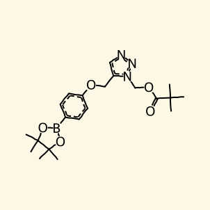 CC(C)(C)C(=O)OCn1nncc1COc1ccc(B2OC(C)(C)C(C)(C)O2)cc1